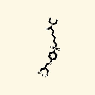 CCN(CC)C(=O)CCCCCS(=O)(=O)c1ccc(OC/C(=C/O)CN)cc1